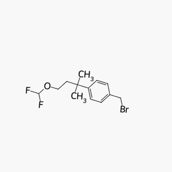 CC(C)(CCOC(F)F)c1ccc(CBr)cc1